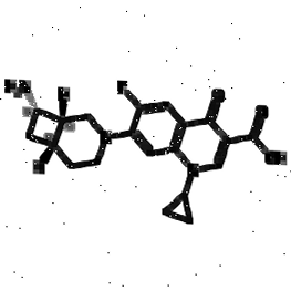 N[C@H]1C[C@H]2CCN(c3cc4c(cc3F)c(=O)c(C(=O)O)cn4C3CC3)C[C@H]21